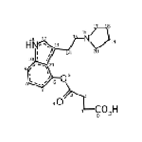 O=C(O)CCC(=O)Oc1cccc2[nH]cc(CCN3CCCC3)c12